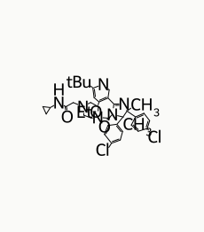 CCOc1cc(C(C)(C)C)ncc1C1=NC(C)(c2ccc(Cl)cc2)C(C)(c2ccc(Cl)cc2)N1C(=O)N1CCN(CC(=O)NC2CC2)CC1